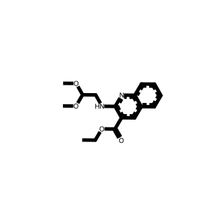 CCOC(=O)c1cc2ccccc2nc1NCC(OC)OC